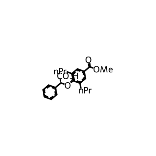 CCCc1cc(C(=O)OC)cc(CCC)c1O[C@H](C(=O)O)c1ccccc1